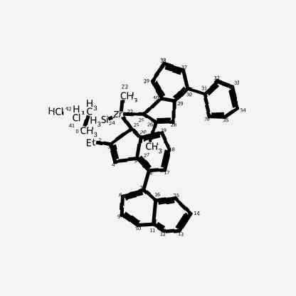 CC.CCC1=Cc2c(-c3cccc4ccccc34)cccc2[CH]1[Zr]([CH3])([SiH3])[CH]1C(C)=Cc2c(-c3ccccc3)cccc21.Cl.Cl